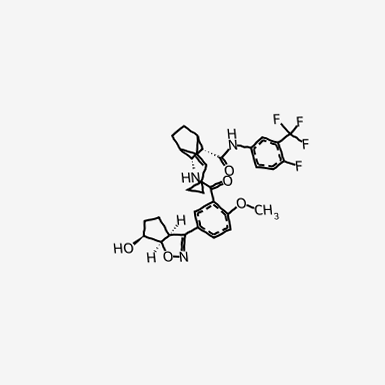 COc1ccc(C2=NO[C@H]3[C@@H](O)CC[C@@H]23)cc1C(=O)N[C@@H]1C2CCC(/C2=C/C2CC2)[C@@H]1C(=O)Nc1ccc(F)c(C(F)(F)F)c1